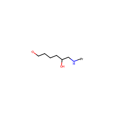 CC(C)NCC(O)CCCC[O]